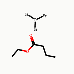 CCCC(=O)OCC.C[CH2][Zr]([CH2]C)[CH2]C